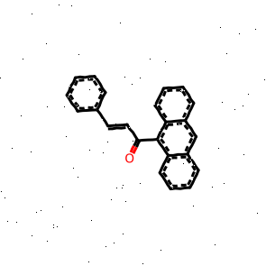 O=C(C=Cc1ccccc1)c1c2ccccc2cc2ccccc12